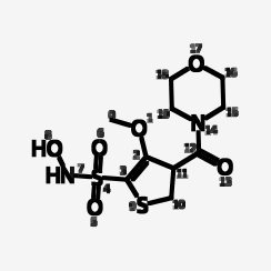 COC1=C(S(=O)(=O)NO)SCC1C(=O)N1CCOCC1